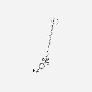 Cc1ccc(S(=O)(=O)OCCCCCOCCOCCCOC2CCCCO2)cc1